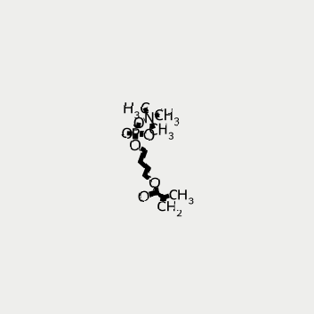 C=C(C)C(=O)OCCCCOP(=O)([O-])O[N+](C)(C)C